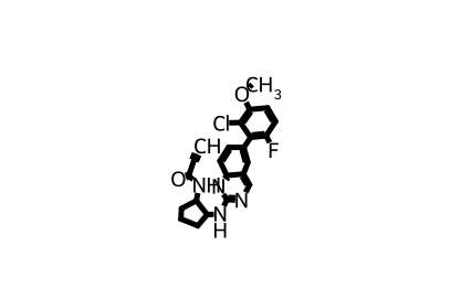 C#CC(=O)NC1CCCC1Nc1ncc2cc(-c3c(F)ccc(OC)c3Cl)ccc2n1